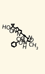 Cc1onc(C#CC2=NC3=NC(C4(C(=O)O)CC4)=CC3=C2)c1NC(=O)OC(C)c1ccccc1